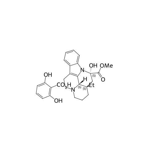 CC[C@]12CCCN3CCc4c(n(c5ccccc45)[C@@](O)(C(=O)OC)C1)[C@@H]32.O=C(O)c1c(O)cccc1O